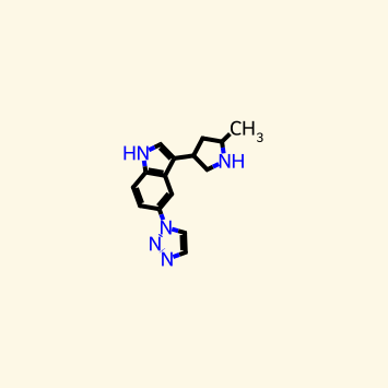 CC1CC(c2c[nH]c3ccc(-n4ccnn4)cc23)CN1